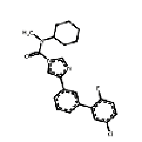 CN(C(=O)n1cnc(-c2cccc(-c3cc(Cl)ccc3F)c2)c1)C1CCCCC1